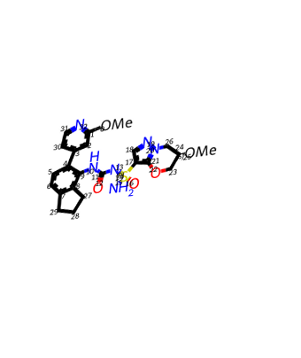 COc1cc(-c2ccc3c(c2NC(=O)N=[S@@](N)(=O)c2cnn4c2OC[C@@H](OC)C4)CCC3)ccn1